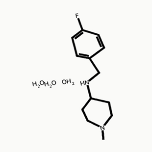 CN1CCC(NCc2ccc(F)cc2)CC1.O.O.O